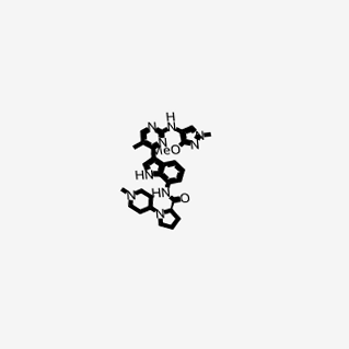 COc1nn(C)cc1Nc1ncc(C)c(-c2c[nH]c3c(NC(=O)[C@H]4CCCN4C4CCN(C)CC4)cccc23)n1